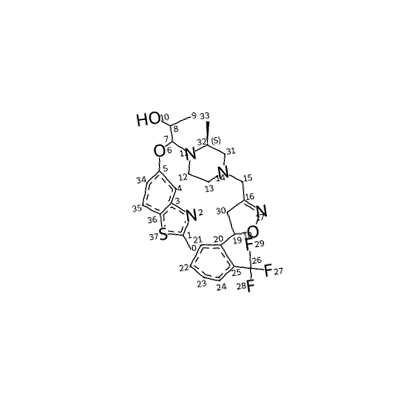 Cc1nc2cc(OC(C(C)O)N3CCN(CC4=NOC(c5ccccc5C(F)(F)F)C4)C[C@@H]3C)ccc2s1